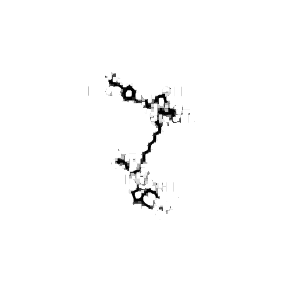 CC(=O)N1CC[C@H]2CC[C@@H](C(=O)N[C@@H](CCC(N)=O)C(=O)NCCCCCCCC(=O)N[C@H](C(=O)N3C[C@H](O)C[C@H]3C(=O)NCc3ccc(-c4scnc4C)cc3)C(C)(C)C)N2C(=O)[C@@H](N)C1